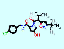 CC(C)C(C(=O)N1CC(O)CC1C(=O)NCc1ccc(Cl)cc1)c1cc(C(C)(C)C)no1